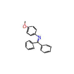 COc1ccc(N=C(c2ccccc2)c2ccccc2)cc1